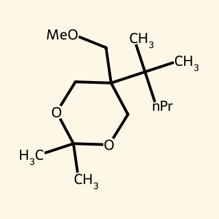 CCCC(C)(C)C1(COC)COC(C)(C)OC1